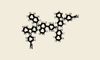 N#Cc1ccc(-n2c3ccccc3c3cc(N(c4ccc(-c5ccc(N(c6ccc7ccccc7c6)c6ccc7c(c6)c6ccccc6n7-c6ccc(C#N)cc6)c6ccccc56)cc4)c4ccc5ccccc5c4)ccc32)cc1